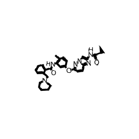 Cc1ccc(Oc2ccc3nc(NC(=O)C4CC4)cn3n2)cc1NC(=O)c1ccccc1CN1CCCCC1